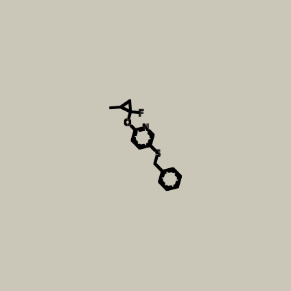 CC1CC1(F)Oc1ccc(SCc2ccccc2)cn1